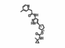 Cc1ccnc(CC(=O)Nc2cc([C@H]3CC[C@@H](OC(=O)NC4(C)CC4)C3)[nH]n2)c1